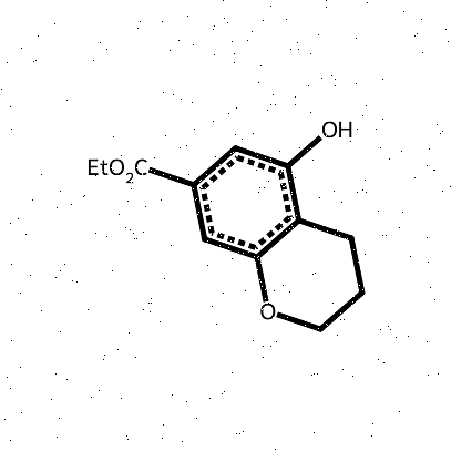 CCOC(=O)c1cc(O)c2c(c1)OCCC2